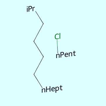 CCCCCCCCCCCC(C)C.CCCCCCl